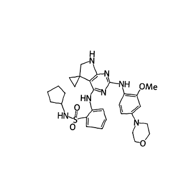 COc1cc(N2CCOCC2)ccc1Nc1nc2c(c(Nc3ccccc3S(=O)(=O)NC3CCCC3)n1)C1(CC1)CN2